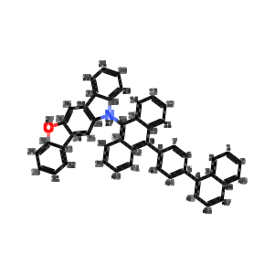 c1ccc2c(-c3ccc(-c4c5ccccc5c(-n5c6ccccc6c6cc7oc8ccccc8c7cc65)c5ccccc45)cc3)cccc2c1